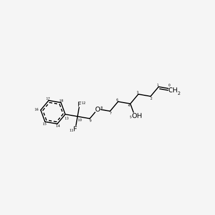 C=CCCC(O)CCOCC(F)(F)c1ccccc1